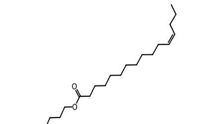 CCC/C=C\CCCCCCCCCCC(=O)OCCCCC